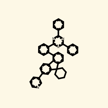 c1ccc(-c2nc(-c3ccccc3)nc(-c3ccccc3-c3cccc4c3-c3ccc(-c5cccnc5)cc3C43CCCCC3)n2)cc1